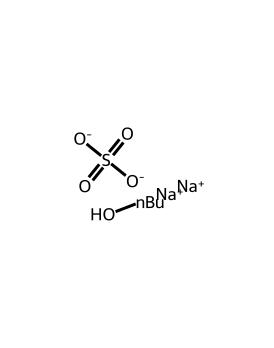 CCCCO.O=S(=O)([O-])[O-].[Na+].[Na+]